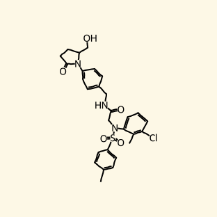 Cc1ccc(S(=O)(=O)N(CC(=O)NCc2ccc(N3C(=O)CCC3CO)cc2)c2cccc(Cl)c2C)cc1